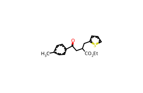 CCOC(=O)C(CC(=O)c1ccc(C)cc1)Cc1cccs1